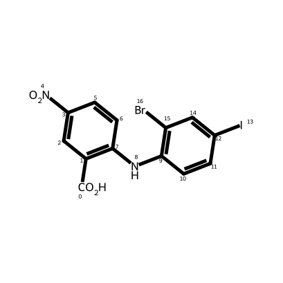 O=C(O)c1cc([N+](=O)[O-])ccc1Nc1ccc(I)cc1Br